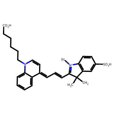 CC[N+]1=C(/C=C/C=C2\C=CN(CCCCCC(=O)O)c3ccccc32)C(C)(C)c2cc(S(=O)(=O)O)ccc21